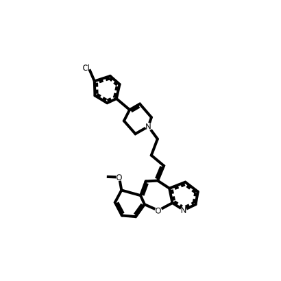 COC1C=CC=C2Oc3ncccc3C(=CCCN3CC=C(c4ccc(Cl)cc4)CC3)C=C21